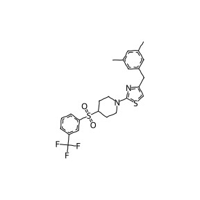 Cc1cc(C)cc(Cc2csc(N3CCC(S(=O)(=O)c4cccc(C(F)(F)F)c4)CC3)n2)c1